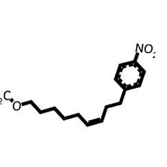 O=C(O)OCCCCC/C=C\CCc1ccc([N+](=O)[O-])cc1